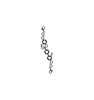 O=C(Oc1ccc(OCOCC2CO2)cc1F)c1ccc(-c2ccc(OCOCC3CO3)cc2F)cc1